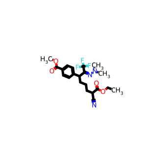 CCOC(=O)C(C#N)CCCC(/C(=N/N(C)C)C(F)(F)F)c1ccc(C(=O)OC)cc1